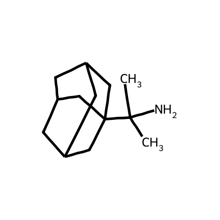 CC(C)(N)C12CC3CC(CC(C3)C1)C2